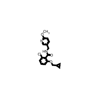 COc1ccc(CNC(=O)c2c(Cl)cccc2OCC2CC2)cn1